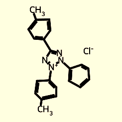 Cc1ccc(-c2nn(-c3ccccc3)[n+](-c3ccc(C)cc3)n2)cc1.[Cl-]